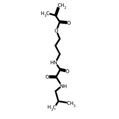 C=C(C)C(=O)OCCCNC(=O)C(=O)NCC(C)C